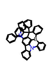 c1ccc(N(c2ccccc2)c2cc3c4ccccc4n4c3c3c2C(c2ccccc2)(c2ccccc2)c2ccccc2B3c2ccccc2-4)cc1